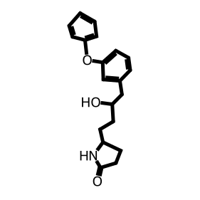 O=C1CCC(CCC(O)Cc2cccc(Oc3ccccc3)c2)N1